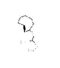 CC(C)(C)NC(O)OC1/C=C/CCCCC1